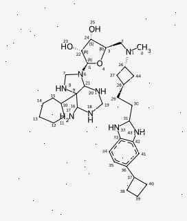 CN(C[C@H]1O[C@@H](N2CNC3(C4CCCCC4)C(N)NCNC23)[C@H](O)[C@@H]1O)[C@H]1C[C@H](CCC2Nc3ccc(C4CCC4)cc3N2)C1